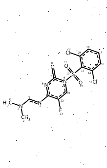 CN(C)/C=N/c1nc(=O)n(S(=O)(=O)c2c(Cl)cccc2Cl)cc1F